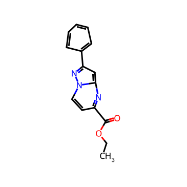 CCOC(=O)c1ccn2nc(-c3ccccc3)cc2n1